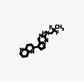 CC(F)(F)CNc1ncc2c(-c3ccc4ncccc4n3)ccn2n1